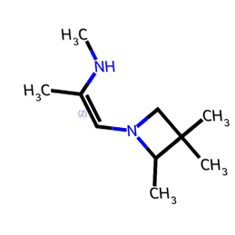 CN/C(C)=C\N1CC(C)(C)C1C